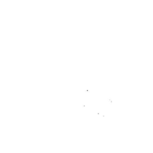 Cc1cc(Cn2cnc(N)c2C(N)=O)cc(C)c1OCc1ccccc1